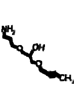 CC#CCOCC(O)COCCCN